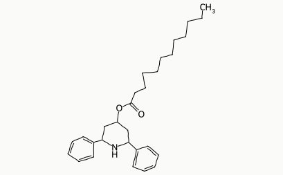 CCCCCCCCCCCC(=O)OC1CC(c2ccccc2)NC(c2ccccc2)C1